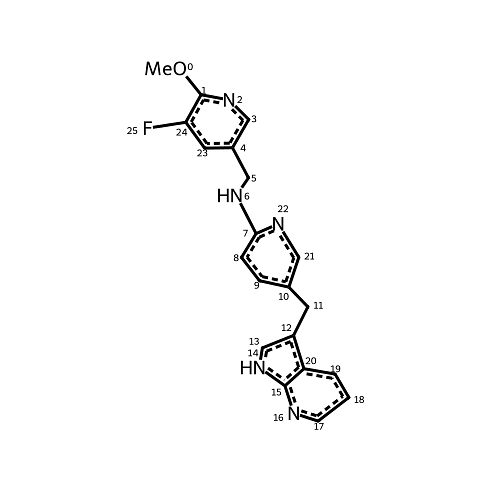 COc1ncc(CNc2ccc(Cc3c[nH]c4ncccc34)cn2)cc1F